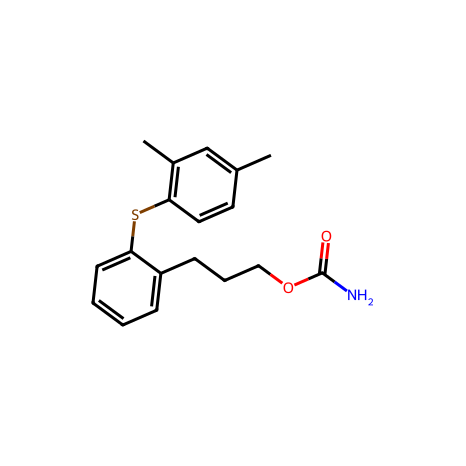 Cc1ccc(Sc2ccccc2CCCOC(N)=O)c(C)c1